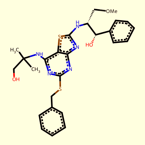 COC[C@@H](Nc1nc2nc(SCc3ccccc3)nc(NC(C)(C)CO)c2s1)[C@@H](O)c1ccccc1